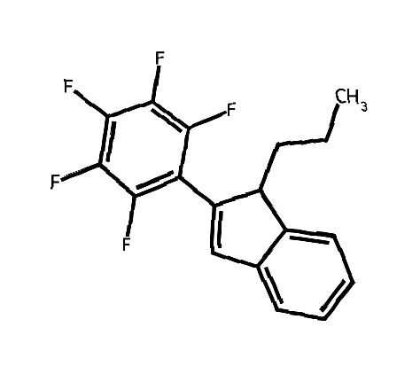 CCC[C]1C(c2c(F)c(F)c(F)c(F)c2F)=Cc2ccccc21